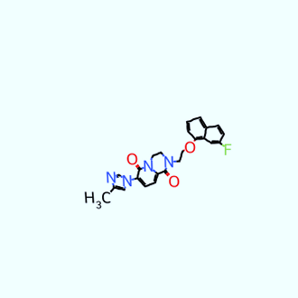 Cc1cn(-c2ccc3n(c2=O)CCN(CCOc2cccc4ccc(F)cc24)C3=O)cn1